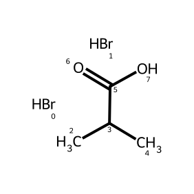 Br.Br.CC(C)C(=O)O